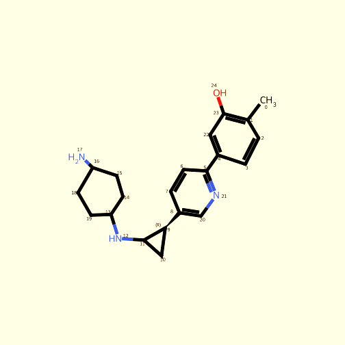 Cc1ccc(-c2ccc([C@H]3CC3NC3CCC(N)CC3)cn2)cc1O